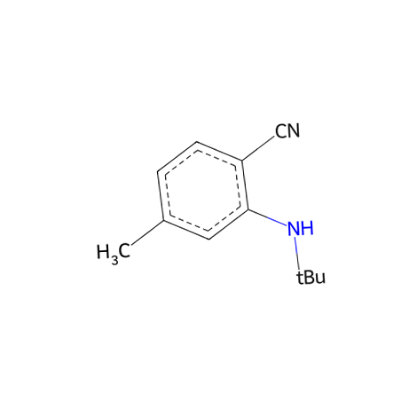 Cc1ccc(C#N)c(NC(C)(C)C)c1